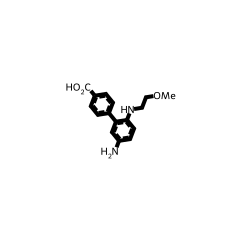 COCCNc1ccc(N)cc1-c1ccc(C(=O)O)cc1